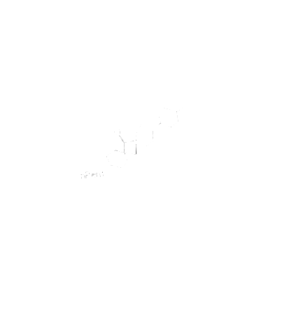 CCCCCC1CC[C@]2(CC1)C[C@@]1(CC[C@H](C3CCC(C)CC3)CC1)C2=O